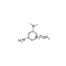 CN(C)c1cccc(N)c1.O.O